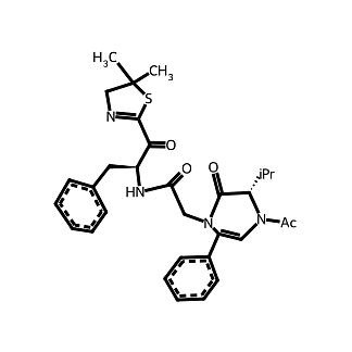 CC(=O)N1C=C(c2ccccc2)N(CC(=O)N[C@@H](Cc2ccccc2)C(=O)C2=NCC(C)(C)S2)C(=O)[C@@H]1C(C)C